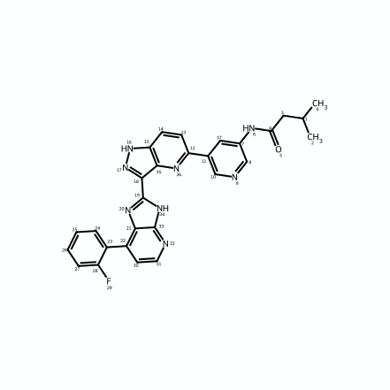 CC(C)CC(=O)Nc1cncc(-c2ccc3[nH]nc(-c4nc5c(-c6ccccc6F)ccnc5[nH]4)c3n2)c1